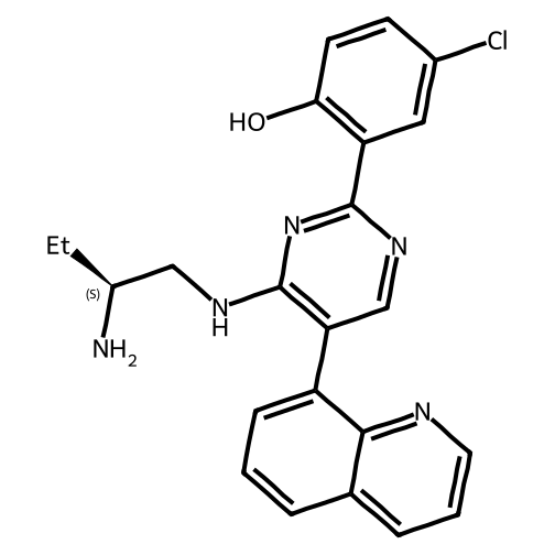 CC[C@H](N)CNc1nc(-c2cc(Cl)ccc2O)ncc1-c1cccc2cccnc12